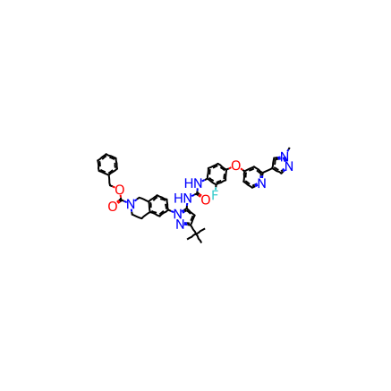 Cn1cc(-c2cc(Oc3ccc(NC(=O)Nc4cc(C(C)(C)C)nn4-c4ccc5c(c4)CCN(C(=O)OCc4ccccc4)C5)c(F)c3)ccn2)cn1